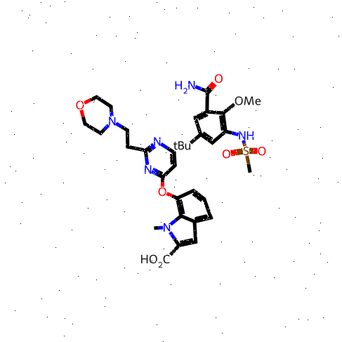 COc1c(NS(C)(=O)=O)cc(C(C)(C)C)cc1C(N)=O.Cn1c(C(=O)O)cc2cccc(Oc3ccnc(CCN4CCOCC4)n3)c21